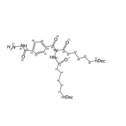 CCCCCCCCCCCCCCCC(=O)NN(C(=O)CCCCCCCCCCCCCCC)C(=O)c1ccc(C(=O)NN)cc1